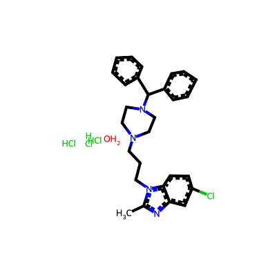 Cc1nc2cc(Cl)ccc2n1CCCN1CCN(C(c2ccccc2)c2ccccc2)CC1.Cl.Cl.Cl.O